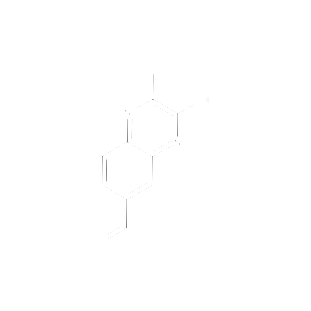 O=Cc1ccc2nc(O)c(O)nc2c1